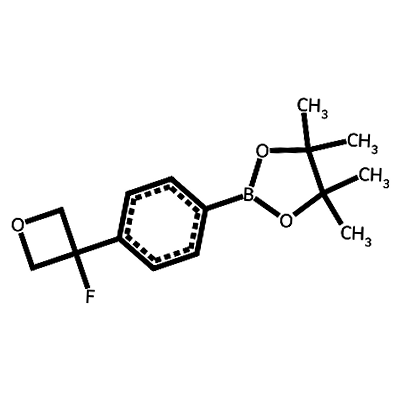 CC1(C)OB(c2ccc(C3(F)COC3)cc2)OC1(C)C